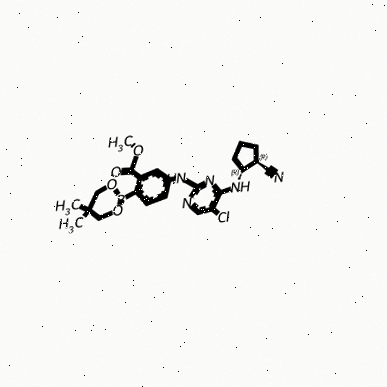 COC(=O)c1cc(Nc2ncc(Cl)c(N[C@@H]3CCC[C@H]3C#N)n2)ccc1B1OCC(C)(C)CO1